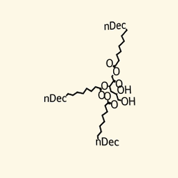 CCCCCCCCCCCCCCCCCC(=O)OCC(=O)[C@H](OC(=O)CCCCCCCCCCCCCCCCC)[C@@H](OC(=O)CCCCCCCCCCCCCCCCC)[C@H](O)CO